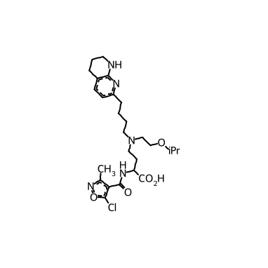 Cc1noc(Cl)c1C(=O)NC(CCN(CCCCc1ccc2c(n1)NCCC2)CCOC(C)C)C(=O)O